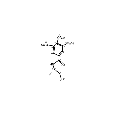 COc1cc(C(=O)N[C@@H](C)CC(C)C)cc(OC)c1OC